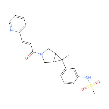 CC1(c2cccc(NS(C)(=O)=O)c2)C2CN(C(=O)C=Cc3ccccn3)CC21